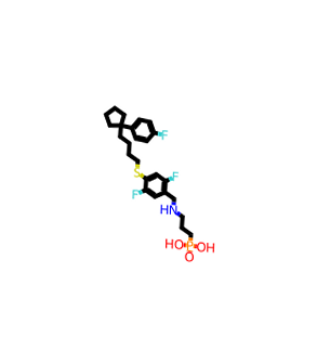 O=P(O)(O)CCCNCc1cc(F)c(SCCCCC2(c3ccc(F)cc3)CCCC2)cc1F